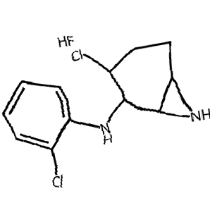 Clc1ccccc1NC1C(Cl)CCC2NC21.F